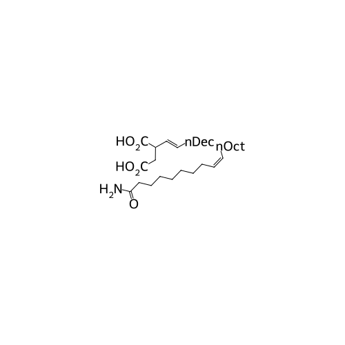 CCCCCCCC/C=C\CCCCCCCC(N)=O.CCCCCCCCCCC=CC(CC(=O)O)C(=O)O